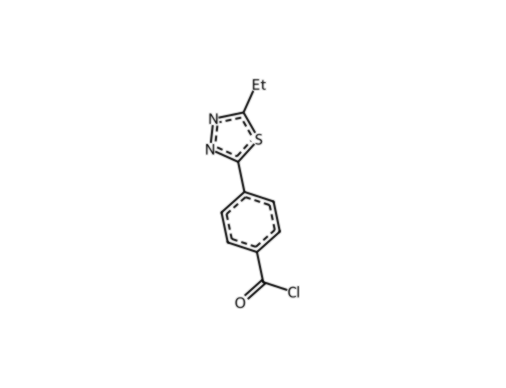 CCc1nnc(-c2ccc(C(=O)Cl)cc2)s1